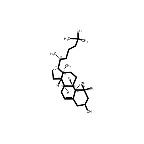 C[C@H](CCCC(C)(C)O)[C@H]1CC[C@H]2[C@@H]3CC=C4CC(O)CC(O)(Br)[C@]4(C)[C@H]3CC[C@]12C